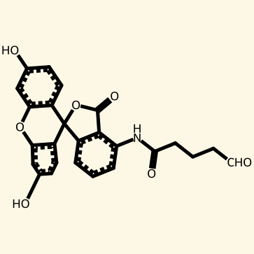 O=CCCCC(=O)Nc1cccc2c1C(=O)OC21c2ccc(O)cc2Oc2cc(O)ccc21